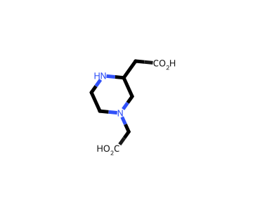 O=C(O)CC1CN(CC(=O)O)CCN1